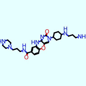 NCCCNC1CCC(n2cc3c(nc2=O)Nc2cc(C(=O)NCCCN4CCNCC4)ccc2O3)CC1